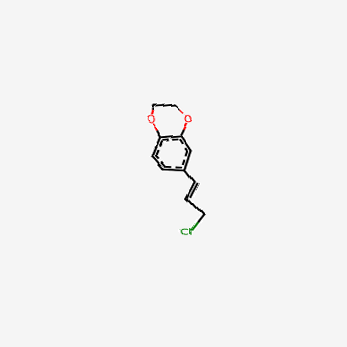 ClCC=Cc1ccc2c(c1)OCCO2